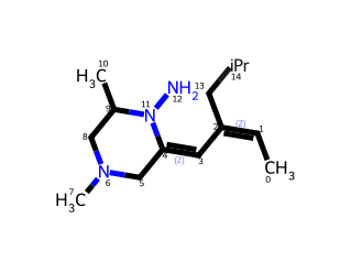 C/C=C(\C=C1\CN(C)CC(C)N1N)CC(C)C